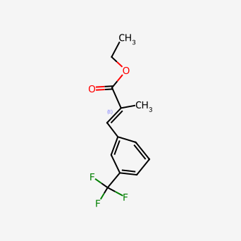 CCOC(=O)/C(C)=C/c1cccc(C(F)(F)F)c1